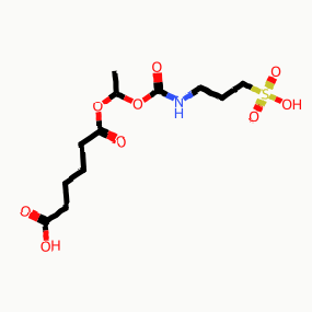 CC(OC(=O)CCCCC(=O)O)OC(=O)NCCCS(=O)(=O)O